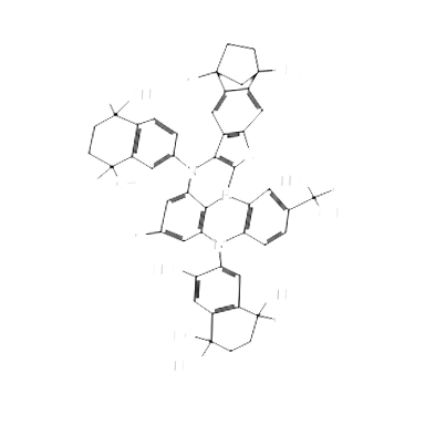 Cc1cc2c3c(c1)N(c1ccc4c(c1)C(C)(C)CCC4(C)C)c1c(sc4cc5c(cc14)C1(C)CCC5(C)C1)B3c1cc(C(C)(C)C)ccc1N2c1cc2c(cc1C)C(C)(C)CCC2(C)C